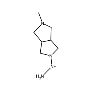 CN1CC2CN(NN)CC2C1